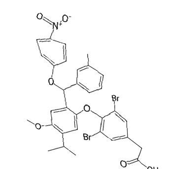 COc1cc(C(Oc2ccc([N+](=O)[O-])cc2)c2cccc(C)c2)c(Oc2c(Br)cc(CC(=O)O)cc2Br)cc1C(C)C